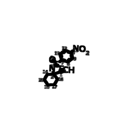 C#CC1(N=S(=O)(F)c2ccc([N+](=O)[O-])cc2)CCCCC1